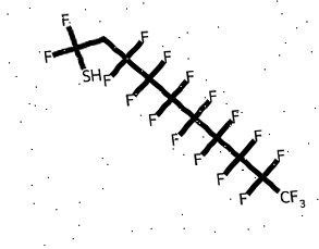 FC(F)(S)CC(F)(F)C(F)(F)C(F)(F)C(F)(F)C(F)(F)C(F)(F)C(F)(F)C(F)(F)F